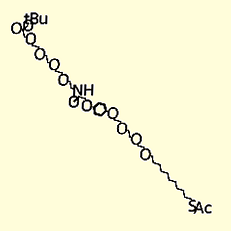 CC(=O)SCCCCCCCCCCCOCCOCCOCCOc1ccc(OCC(=O)NCCOCCOCCOCCOCC(=O)OC(C)(C)C)cc1